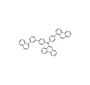 c1cc(-c2ccc(N(c3ccc(-c4cccc5c4ccc4ccccc45)cc3)c3cc4ccccc4c4ccccc34)cc2)cc(-c2cccc3ccccc23)c1